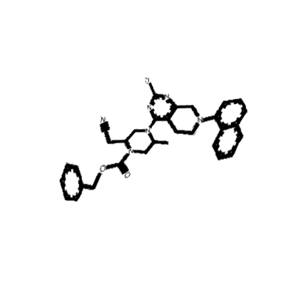 CC1CN(C(=O)OCc2ccccc2)C(CC#N)CN1c1nc(Cl)nc2c1CCN(c1cccc3ccccc13)C2